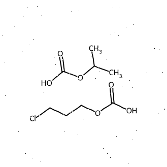 CC(C)OC(=O)O.O=C(O)OCCCCl